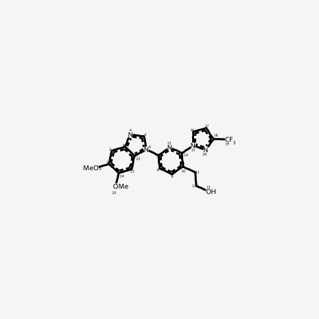 COc1cc2ncn(-c3ccc(CCO)c(-n4ccc(C(F)(F)F)n4)n3)c2cc1OC